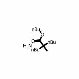 CCCCOC(=O)C(C)(CCCC)CCCC.N